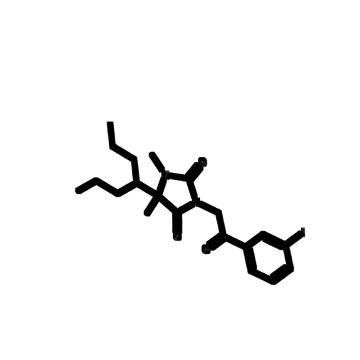 CCCC(CCC)C1(C)C(=O)N(CC(=O)c2cccc(I)c2)C(=O)N1C